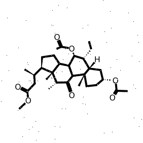 CC[C@H]1[C@@H](OC(C)=O)C2C3CC[C@H]([C@H](C)CC(=O)OC)[C@@]3(C)[C@@H](C)C(=O)C2[C@@]2(C)CC[C@@H](OC(C)=O)C[C@@H]12